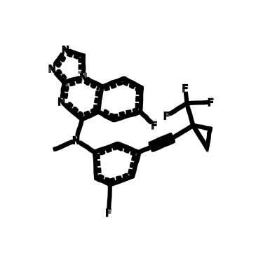 CN(c1cc(F)cc(C#CC2(C(F)(F)F)CC2)c1)c1nc2nncn2c2ccc(F)cc12